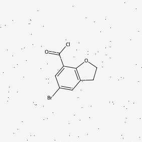 O=C(Cl)c1cc(Br)cc2c1OCC2